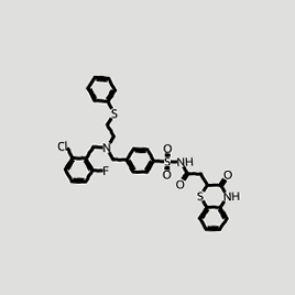 O=C(CC1Sc2ccccc2NC1=O)NS(=O)(=O)c1ccc(CN(CCSc2ccccc2)Cc2c(F)cccc2Cl)cc1